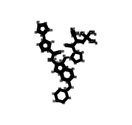 CC(C)(C)/C=C(\C#N)C(=O)N1CCC[C@@H]1Cn1c(NC(=O)c2ccc(-c3cnco3)s2)nc2cc(CN3CCOCC3)ccc21